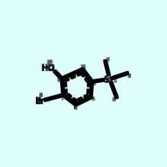 C[Si](C)(C)c1ccc(Br)c(O)c1